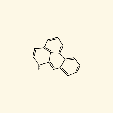 C1=Cc2cccc3c2c(cc2ccccc23)N1